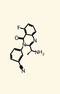 C[C@H](N)c1nc2cccc(F)c2c(=O)n1-c1cccc(C#N)c1